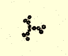 C1=C(c2ccc(-n3c4cc(-c5ccc6c(c5)c5ccccc5n6-c5ccccc5)sc4c4sc(-c5ccc6c(c5)c5ccccc5n6-c5ccccc5)cc43)cc2)CCc2c1c1ccccc1n2-c1ccccc1